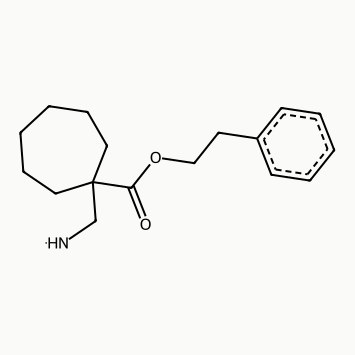 [NH]CC1(C(=O)OCCc2ccccc2)CCCCCC1